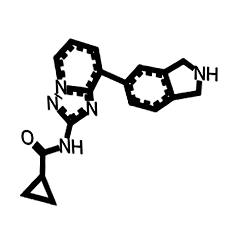 O=C(Nc1nc2c(-c3ccc4c(c3)CNC4)cccn2n1)C1CC1